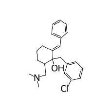 CN(C)CC1CCCC(=Cc2ccccc2)C1(O)Cc1cccc(Cl)c1